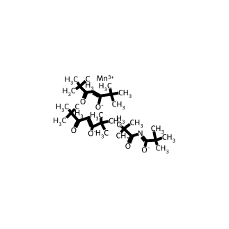 CC(C)(C)C(=O)/C=C(\[O-])C(C)(C)C.CC(C)(C)C(=O)/C=C(\[O-])C(C)(C)C.CC(C)(C)C(=O)/N=C(\[O-])C(C)(C)C.[Mn+3]